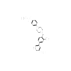 CCc1cc(-c2cncc(O)c2)ccc1CN1CCN(c2ccc(C(=O)O)cc2)CC1